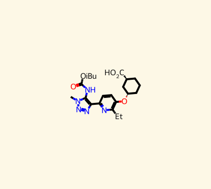 CCc1nc(-c2nnn(C)c2NC(=O)OCC(C)C)ccc1O[C@H]1CCC[C@H](C(=O)O)C1